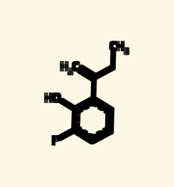 C=C(CC)c1cccc(F)c1O